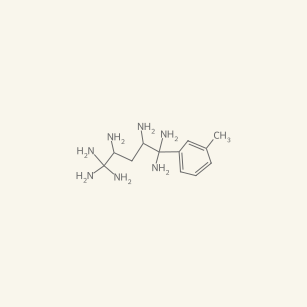 Cc1cccc(C(N)(N)C(N)CC(N)C(N)(N)N)c1